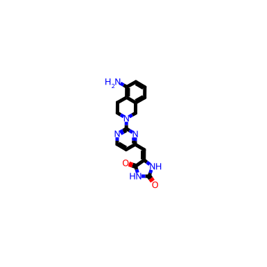 Nc1cccc2c1CCN(c1nccc(C=C3NC(=O)NC3=O)n1)C2